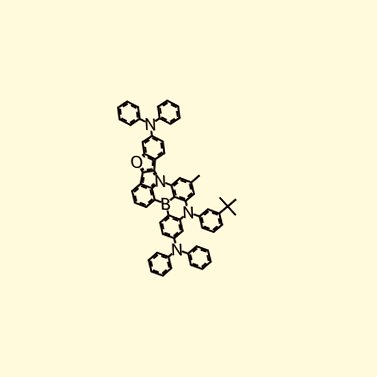 Cc1cc2c3c(c1)-n1c4c(cccc4c4oc5cc(N(c6ccccc6)c6ccccc6)ccc5c41)B3c1ccc(N(c3ccccc3)c3ccccc3)cc1N2c1cccc(C(C)(C)C)c1